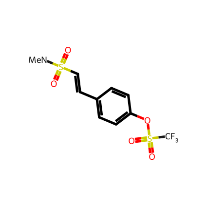 CNS(=O)(=O)C=Cc1ccc(OS(=O)(=O)C(F)(F)F)cc1